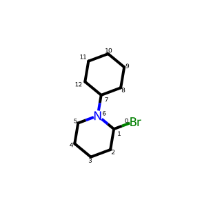 BrC1CCCCN1C1CCCCC1